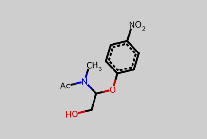 CC(=O)N(C)C(CO)Oc1ccc([N+](=O)[O-])cc1